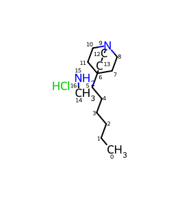 CCCCCCC12CCN(CC1)CC2.CN.Cl